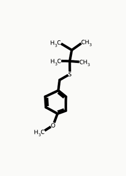 COc1ccc(CSC(C)(C)C(C)C)cc1